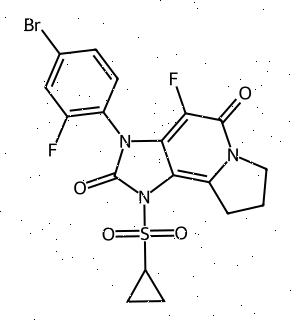 O=c1c(F)c2c(c3n1CCC3)n(S(=O)(=O)C1CC1)c(=O)n2-c1ccc(Br)cc1F